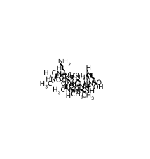 CCNC(=O)[C@H](C)NC(=O)[C@H](CCCCN)NC(=O)[C@H](CC(C)C)NC(=O)[C@H](C)NC(=O)[C@H](C)NC(=O)[C@H](CC(N)=O)NC(=O)[C@H](C)NC(=O)CN[C@@H](Cc1c[nH]cn1)C(=O)O